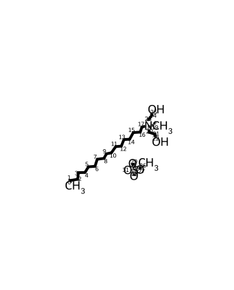 CCCCCCCCCCCCCCCCCC[N+](C)(CCO)CCO.COS(=O)(=O)[O-]